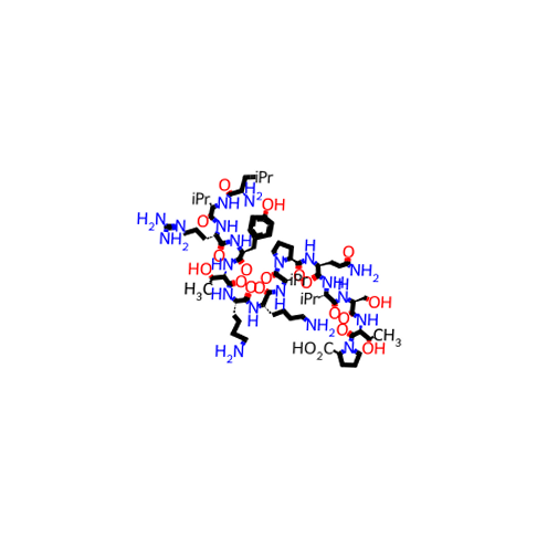 CC(C)C[C@H](N)C(=O)N[C@H](C(=O)N[C@@H](CCCN=C(N)N)C(=O)N[C@@H](Cc1ccc(O)cc1)C(=O)N[C@H](C(=O)N[C@@H](CCCCN)C(=O)N[C@@H](CCCCN)C(=O)N[C@H](C(=O)N1CCC[C@H]1C(=O)N[C@@H](CCC(N)=O)C(=O)N[C@H](C(=O)N[C@@H](CO)C(=O)N[C@H](C(=O)N1CCC[C@H]1C(=O)O)[C@@H](C)O)C(C)C)C(C)C)[C@@H](C)O)C(C)C